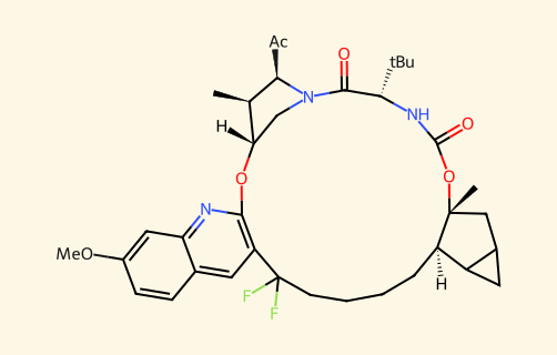 COc1ccc2cc3c(nc2c1)O[C@H]1CN(C(=O)[C@H](C(C)(C)C)NC(=O)O[C@]2(C)CC4CC4[C@H]2CCCCC3(F)F)[C@H](C(C)=O)[C@@H]1C